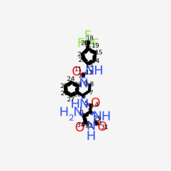 Nc1c(C(=O)NC2CCN(C(=O)Nc3ccc(C(F)(F)F)cc3)c3ccccc32)[nH]c(=O)[nH]c1=O